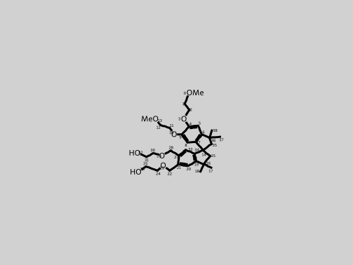 COCCOc1cc2c(cc1OCCOC)C1(CC(C)(C)c3cc(COCCO)c(COCCO)cc31)CC2(C)C